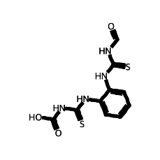 O=CNC(=S)Nc1ccccc1NC(=S)NC(=O)O